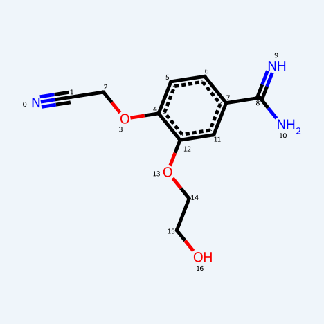 N#CCOc1ccc(C(=N)N)cc1OCCO